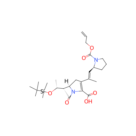 C=CCOC(=O)N1CCC[C@H]1C=C(C)C1=C(C(=O)O)N2C(=O)[C@H]([C@@H](C)O[Si](C)(C)C(C)(C)C)[C@H]2C1